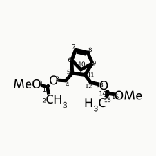 COC(C)OCC1C2C=CC(C2)C1COC(C)OC